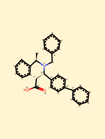 C[C@H](c1ccccc1)N(Cc1ccccc1)[C@@H](CC(=O)O)c1ccc(-c2ccccc2)cc1